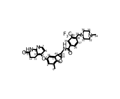 Cc1cc(Oc2ccnc3c2CCC(=O)N3)cc2c1OC1C(NC(=O)c3ccc(CN4CCN(C)CC4)c(C(F)(F)F)c3)C21